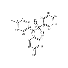 Cc1ccc(N(c2ccc(C)cc2)S(=O)(=O)c2ccccc2)cc1